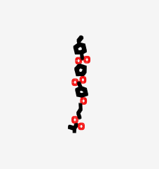 C=Cc1ccc(C(=O)Oc2ccc(OC(=O)c3ccc(OCCCCOC(=O)C(=C)C)cc3)cc2)cc1